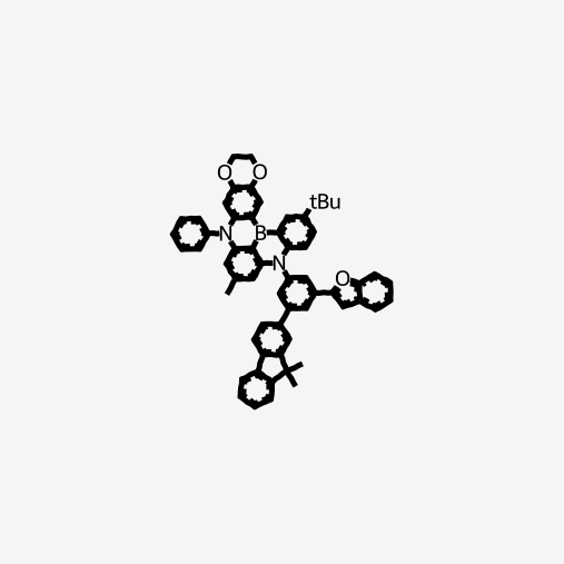 Cc1cc2c3c(c1)N(c1ccccc1)c1cc4c(cc1B3c1cc(C(C)(C)C)ccc1N2c1cc(-c2ccc3c(c2)C(C)(C)c2ccccc2-3)cc(-c2cc3ccccc3o2)c1)OCCO4